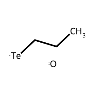 CCC[Te].[O]